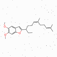 CCC(CCC=C(C)CCC=C(C)C)c1cc2cc(OC)c(OC)cc2o1